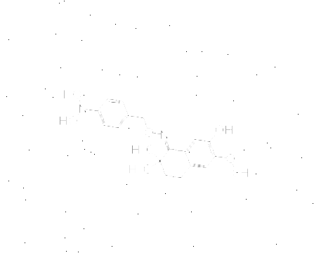 COc1cc2c(cc1O)/C(=N/OCc1ccc(N(O)O)cc1)C(C)(C)CC2